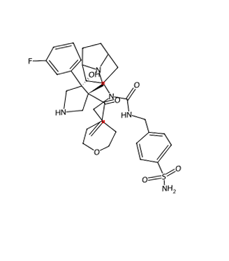 C=CCN(C(=O)NCc1ccc(S(N)(=O)=O)cc1)C1CC2CCC(C1)N2C[C@@]1(C(=O)C2CCOCC2)CNC[C@@]1(O)c1cccc(F)c1